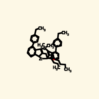 CCCCCCC1=C2c3c(-c4ccc(CC)cc4)cccc3[CH]1[Zr][CH]1C(CCCCCC)=C(c3c(-c4ccc(CC)cc4)cccc31)[Si]2(C)C